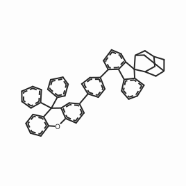 c1ccc(C2(c3ccccc3)c3ccccc3Oc3ccc(-c4ccc(-c5cccc6c5-c5ccccc5C65C6CC7CC(C6)CC5C7)cc4)cc32)cc1